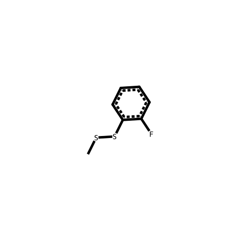 CSSc1ccccc1F